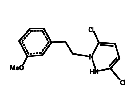 COc1cccc(CCN2NC(Cl)=CC=C2Cl)c1